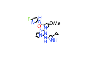 CO[C@@H]1C[C@@H](C(=O)Nc2ccc(F)nc2)N(c2nc(Nc3cc(C4CC4)[nH]n3)n3cccc3n2)C1